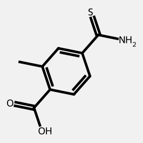 Cc1cc(C(N)=S)ccc1C(=O)O